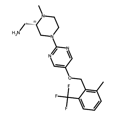 Cc1cccc(C(F)(F)F)c1COc1cnc(N2CCN(C)[C@@H](CN)C2)nc1